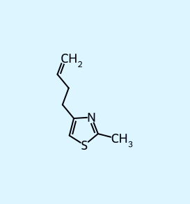 C=CCCc1csc(C)n1